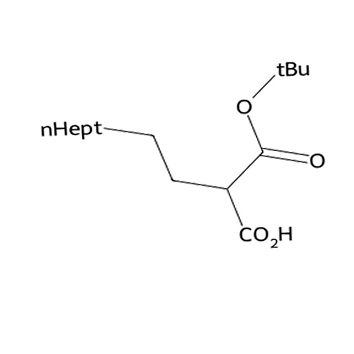 CCCCCCCCCC(C(=O)O)C(=O)OC(C)(C)C